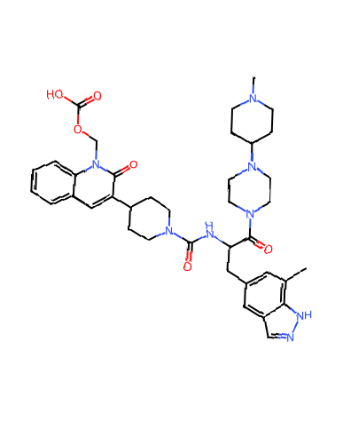 Cc1cc(CC(NC(=O)N2CCC(c3cc4ccccc4n(COC(=O)O)c3=O)CC2)C(=O)N2CCN(C3CCN(C)CC3)CC2)cc2cn[nH]c12